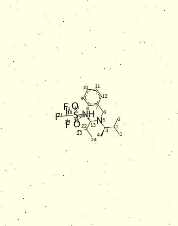 CC(C)[C@@H](C)N(Cc1ccccc1)[C@H](NS(=O)(=O)C(F)(F)F)C(C)C